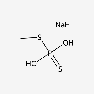 CSP(O)(O)=S.[NaH]